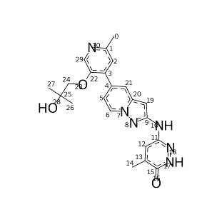 Cc1cc(-c2ccn3nc(Nc4cc(C)c(=O)[nH]n4)cc3c2)c(OCC(C)(C)O)cn1